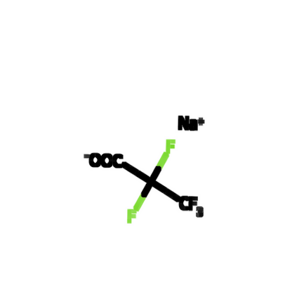 O=C([O-])C(F)(F)C(F)(F)F.[Na+]